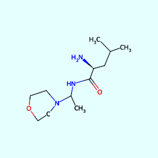 CC(C)C[C@H](N)C(=O)NC(C)N1CCOCC1